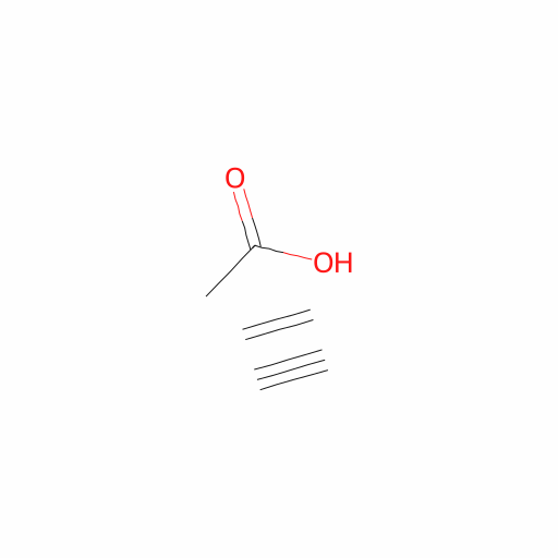 C#C.C=C.CC(=O)O